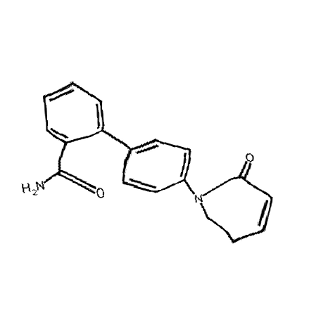 NC(=O)c1ccccc1-c1ccc(N2CCC=CC2=O)cc1